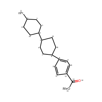 CCCC1CCC(C2CCC(c3ccc(C(=O)OC)cc3)CC2)CC1